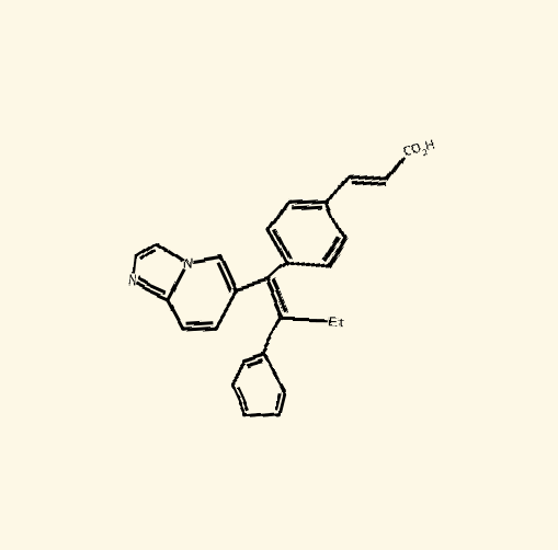 CCC(=C(c1ccc(C=CC(=O)O)cc1)c1ccc2nccn2c1)c1ccccc1